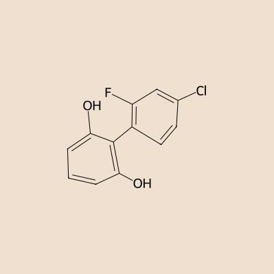 Oc1cccc(O)c1-c1ccc(Cl)cc1F